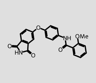 COc1ccccc1C(=O)Nc1ccc(Oc2ccc3c(c2)C(=O)NC3=O)cc1